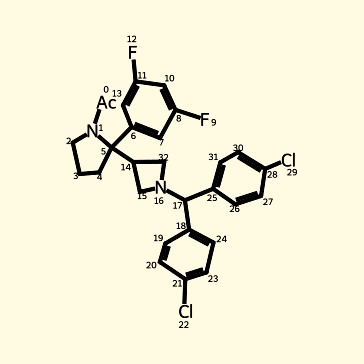 CC(=O)N1CCCC1(c1cc(F)cc(F)c1)C1CN(C(c2ccc(Cl)cc2)c2ccc(Cl)cc2)C1